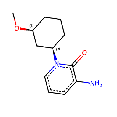 CO[C@H]1CCC[C@@H](n2cccc(N)c2=O)C1